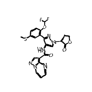 CSc1ccc(OC(F)F)c(-c2nn([C@H]3CCOC3=O)cc2NC(=O)c2cnn3cccnc23)c1